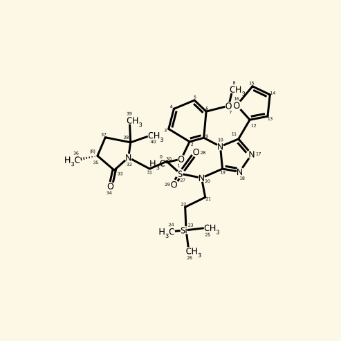 COc1cccc(OC)c1-n1c(-c2ccco2)nnc1N(CC[Si](C)(C)C)S(=O)(=O)CCN1C(=O)[C@H](C)CC1(C)C